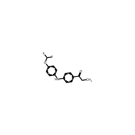 CCC(=O)c1ccc(Nc2ccc(OC(F)F)cc2)cc1